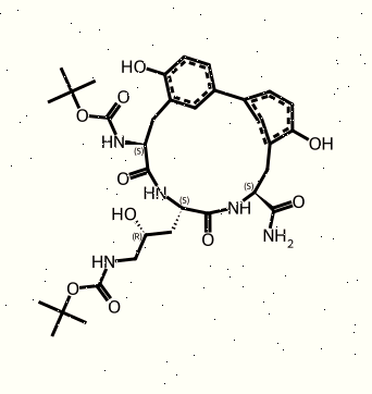 CC(C)(C)OC(=O)NC[C@H](O)C[C@@H]1NC(=O)[C@@H](NC(=O)OC(C)(C)C)Cc2cc(ccc2O)-c2ccc(O)c(c2)C[C@@H](C(N)=O)NC1=O